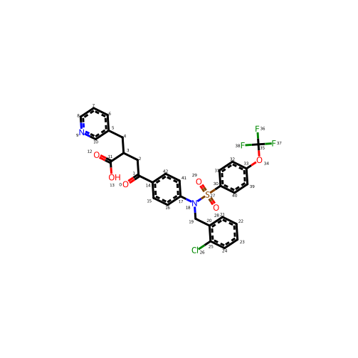 O=C(CC(Cc1cccnc1)C(=O)O)c1ccc(N(Cc2ccccc2Cl)S(=O)(=O)c2ccc(OC(F)(F)F)cc2)cc1